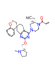 C=CC(=O)N1CCN(c2nc(OC[C@@H]3CCCN3C)nc3c2CCC2(CCOc4ccccc42)C3)C[C@@H]1CC#N